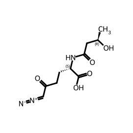 C[C@@H](O)CC(=O)N[C@@H](CCC(=O)C=[N+]=[N-])C(=O)O